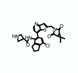 CC1(C)C2C(=O)N(Cc3cc4nccc(-c5cc(Cl)c6c(c5NC(=O)C5CNC5)CCC6)c4s3)C(=O)C21